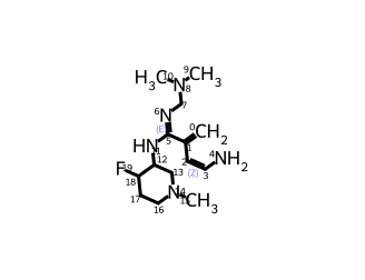 C=C(/C=C\N)/C(=N\CN(C)C)NC1CN(C)CCC1F